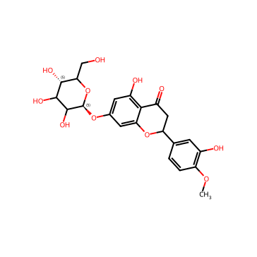 COc1ccc(C2CC(=O)c3c(O)cc(O[C@@H]4OC(CO)[C@@H](O)C(O)C4O)cc3O2)cc1O